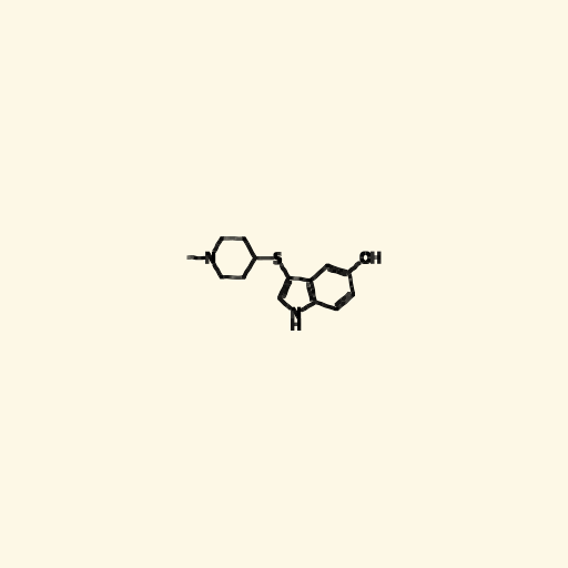 CN1CCC(Sc2c[nH]c3ccc(O)cc23)CC1